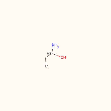 CCC[SiH](N)O